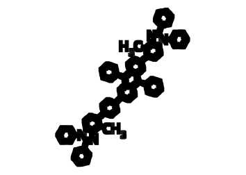 Cc1c(-c2ccc(-c3ccc4c(-c5ccccc5)c5cc(-c6ccc7c(nc(-c8ccccc8)n7-c7ccccc7)c6C)ccc5c(-c5ccccc5)c4c3)cc2)ccc2c1nc(-c1ccccc1)n2-c1ccccc1